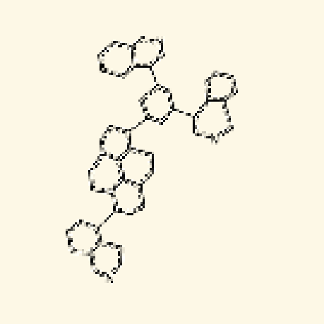 c1ccc2c(-c3cc(-c4cncc5ccccc45)cc(-c4ccc5ccc6c(-c7cccc8cnccc78)ccc7ccc4c5c76)c3)cncc2c1